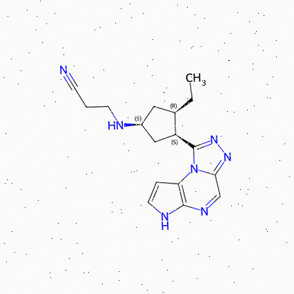 CC[C@@H]1C[C@H](NCCC#N)C[C@@H]1c1nnc2cnc3[nH]ccc3n12